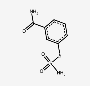 NC(=O)c1cccc(SS(N)(=O)=O)c1